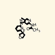 CC(=O)Nc1cc2c(cn1)cnn2-c1cccc([C@]2(F)CCOC2)n1